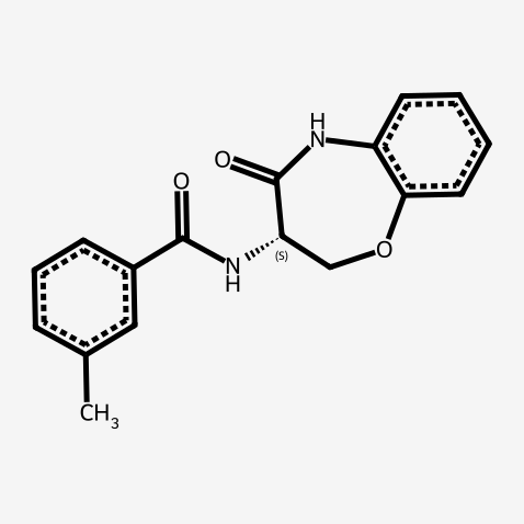 Cc1cccc(C(=O)N[C@H]2COc3ccccc3NC2=O)c1